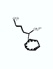 CCOC(=O)C(CCCC(=O)O)c1ccccc1